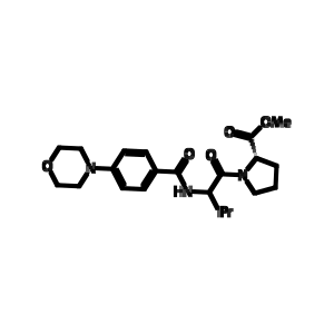 COC(=O)[C@@H]1CCCN1C(=O)C(NC(=O)c1ccc(N2CCOCC2)cc1)C(C)C